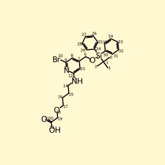 CC(C)(C)[Si](OCc1cc(Br)nc(NCCCCOCC(=O)O)c1)(c1ccccc1)c1ccccc1